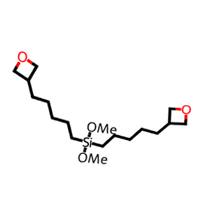 CO[Si](CCCCCC1COC1)(CCCCCC1COC1)OC